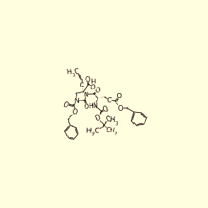 C=CC[C@@]1(C(=O)O)CN(C(=O)OCc2ccccc2)C(=O)N1C(=O)[C@H](CCC(=O)OCc1ccccc1)NC(=O)OC(C)(C)C